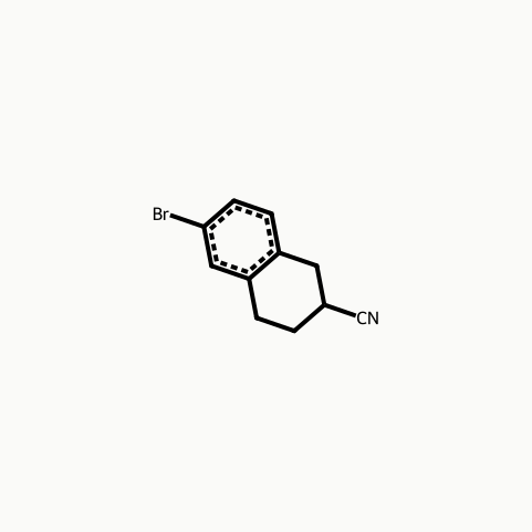 N#CC1CCc2cc(Br)ccc2C1